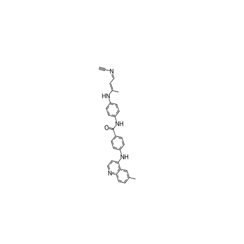 C#C/N=C\C=C(/C)Nc1ccc(NC(=O)c2ccc(Nc3ccnc4ccc(C)cc34)cc2)cc1